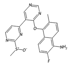 Cc1ccc2c(N)c(F)ccc2c1Oc1ncncc1-c1ccnc([S+](C)[O-])n1